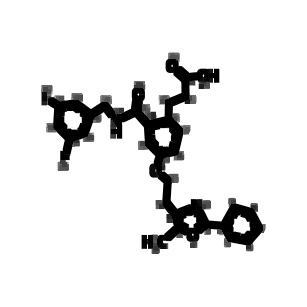 Cc1oc(-c2ccccc2)nc1CCOc1ccc(CCC(=O)O)c(C(=O)NCc2cc(F)cc(F)c2)c1